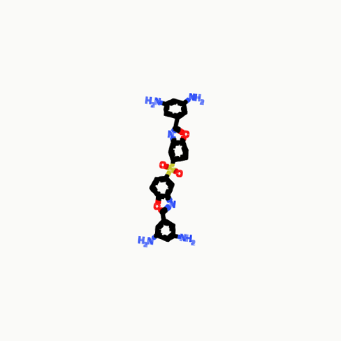 Nc1cc(N)cc(-c2nc3cc(S(=O)(=O)c4ccc5oc(-c6cc(N)cc(N)c6)nc5c4)ccc3o2)c1